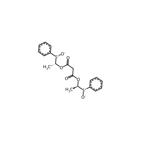 C[C@@H](OC(=O)CC(=O)O[C@H](C)[S+]([O-])c1ccccc1)[S+]([O-])c1ccccc1